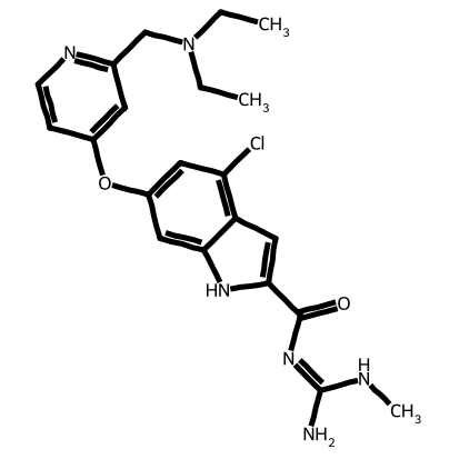 CCN(CC)Cc1cc(Oc2cc(Cl)c3cc(C(=O)N=C(N)NC)[nH]c3c2)ccn1